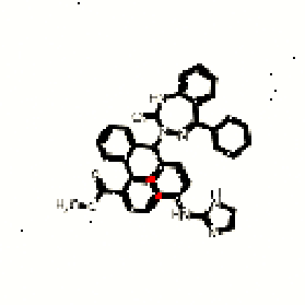 COC(=O)c1ccccc1-c1ccccc1C(c1ccc(NC2=NCCN2)cc1)N1N=C(C2CCCCC2)c2ccccc2NC1=O